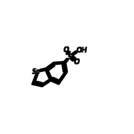 O=S(=O)(O)c1ccc2cc[se]c2c1